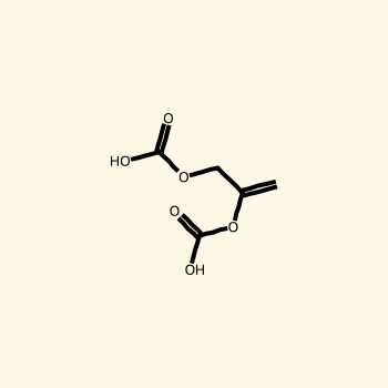 C=C(COC(=O)O)OC(=O)O